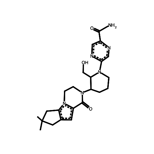 CC1(C)Cc2cc3n(c2C1)CCN(C1CCCN(c2cnc(C(N)=O)cn2)C1CO)C3=O